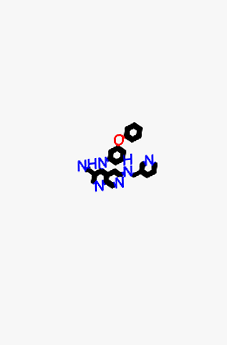 N#Cc1cnc2cnc(NCc3cccnc3)cc2c1Nc1cccc(Oc2ccccc2)c1